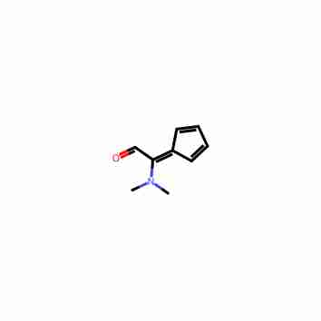 CN(C)C(C=O)=C1C=CC=C1